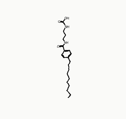 CCCCCCCCCCc1ccc(C(=O)NCCCNC(=O)O)cc1